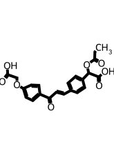 CCC(=O)OC(C(=O)O)c1ccc(C=CC(=O)c2ccc(OCC(=O)O)cc2)cc1